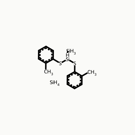 Cc1ccccc1S[SiH]([SiH3])Sc1ccccc1C.[SiH4]